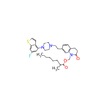 CCCCCC(C)C(=O)OCN1C(=O)CCc2ccc(CCN3CCN(c4cc(F)cc5sccc45)CC3)cc21